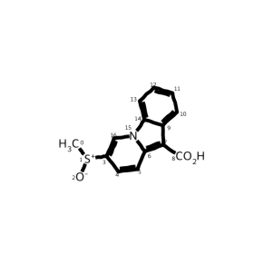 C[S+]([O-])c1ccc2c(C(=O)O)c3ccccc3n2c1